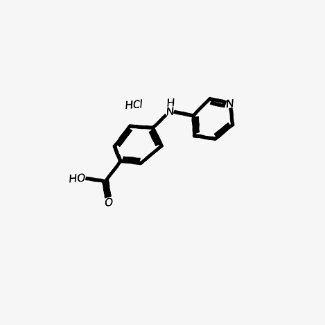 Cl.O=C(O)c1ccc(Nc2cccnc2)cc1